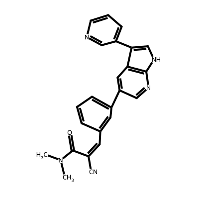 CN(C)C(=O)C(C#N)=Cc1cccc(-c2cnc3[nH]cc(-c4cccnc4)c3c2)c1